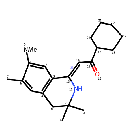 CNc1cc2c(cc1C)CC(C)(C)N/C2=C\C(=O)C1CCCCC1